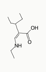 CCNC=C(C(=O)O)C(CC)CC